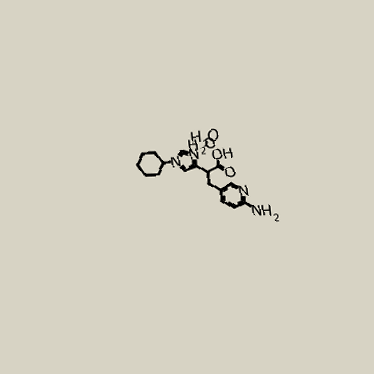 Nc1ccc(CC(C(=O)O)c2cn(C3CCCCC3)cn2)cn1.O.O